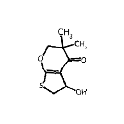 CC1(C)COC2=C(C1=O)C(O)CS2